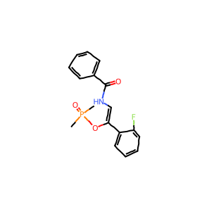 CP(C)(=O)OC(=CNC(=O)c1ccccc1)c1ccccc1F